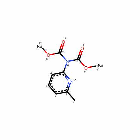 Cc1cccc(N(C(=O)OC(C)(C)C)C(=O)OC(C)(C)C)n1